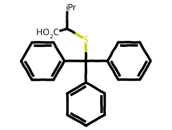 CC(C)C(SC(c1ccccc1)(c1ccccc1)c1ccccc1)C(=O)O